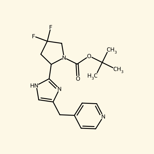 CC(C)(C)OC(=O)N1CC(F)(F)CC1c1nc(Cc2ccncc2)c[nH]1